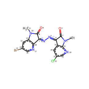 CCN1C(=O)/C(=N/N=C2\C(=O)N(C)c3cc(Br)cnc32)c2cc(Cl)cnc21